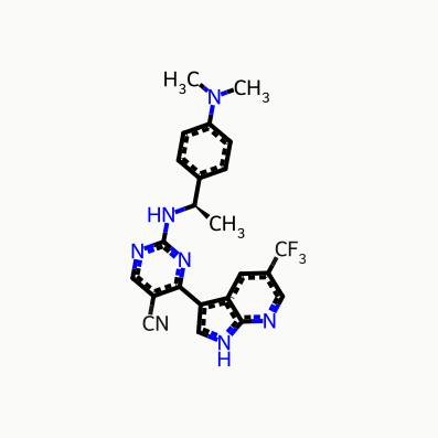 C[C@@H](Nc1ncc(C#N)c(-c2c[nH]c3ncc(C(F)(F)F)cc23)n1)c1ccc(N(C)C)cc1